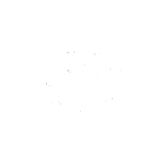 CC(=O)OC1C(C)C(C)(C)NC(C)(C)C1C